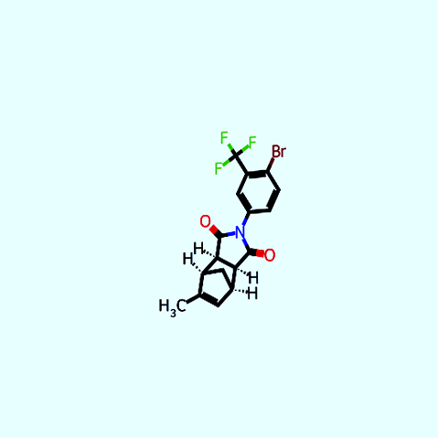 CC1=C[C@H]2C[C@@H]1[C@H]1C(=O)N(c3ccc(Br)c(C(F)(F)F)c3)C(=O)[C@H]12